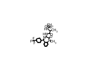 CC(NS(C)(=O)=O)C(=O)NC1N=C(c2ccc(C(F)(F)F)cc2)c2ccccc2N(C)C1=O